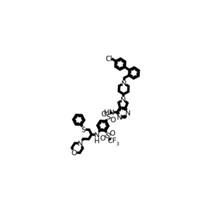 O=S(=O)(Nc1ncnc2c1CN(C1CCN(Cc3ccccc3-c3ccc(Cl)cc3)CC1)C2)c1ccc(NC(CCN2CCOCC2)CSc2ccccc2)c(S(=O)(=O)C(F)(F)F)c1